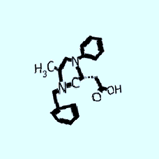 C[C@H]1CN(c2ccccc2)[C@H](CC(=O)O)CN1Cc1ccccc1